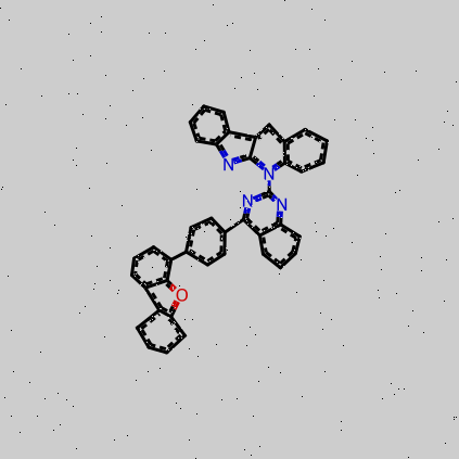 c1ccc2c(c1)cc1c3ccccc3nc-1n2-c1nc(-c2ccc(-c3cccc4c3oc3ccccc34)cc2)c2ccccc2n1